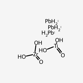 [O]=[Ti]([OH])[OH].[O]=[Zr]([OH])[OH].[PbH2].[PbH2].[PbH2]